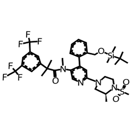 C[C@H]1CN(c2cc(-c3ccccc3CO[Si](C)(C)C(C)(C)C)c(N(C)C(=O)C(C)(C)c3cc(C(F)(F)F)cc(C(F)(F)F)c3)cn2)CCN1S(C)(=O)=O